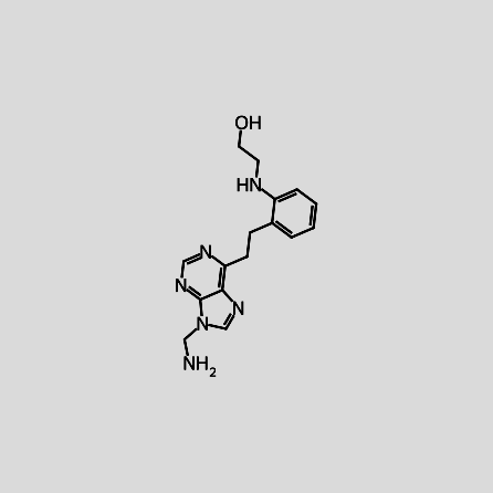 NCn1cnc2c(CCc3ccccc3NCCO)ncnc21